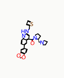 O=C(c1cc(NCc2cccs2)nc2ccc(-c3ccc4c(c3)OCO4)cc12)N1CCC[C@H]1CN1CCCC1